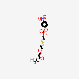 CC(=O)CCOCCSSCCOC(=O)Oc1ccc([N+](=O)[O-])cc1